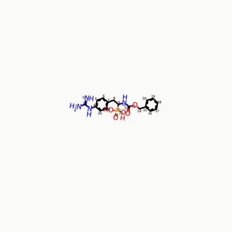 N=C(N)Nc1ccc(CC(NC(=O)OCc2ccccc2)P(=O)(O)O)cc1